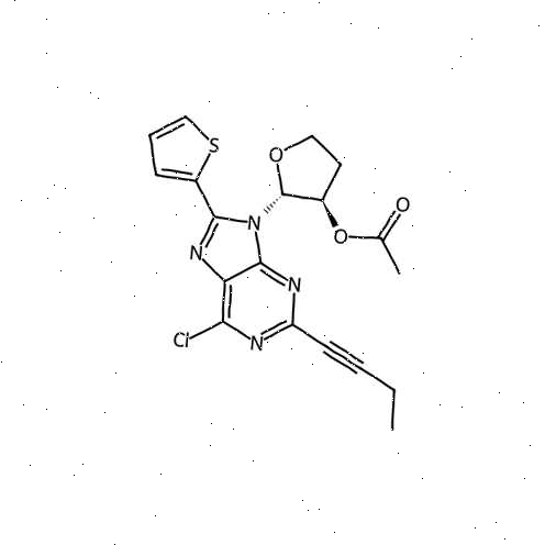 CCC#Cc1nc(Cl)c2nc(-c3cccs3)n([C@@H]3OCC[C@H]3OC(C)=O)c2n1